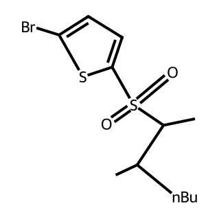 CCCCC(C)C(C)S(=O)(=O)c1ccc(Br)s1